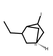 CCC1C[C@@H]2CC(I)C1C2